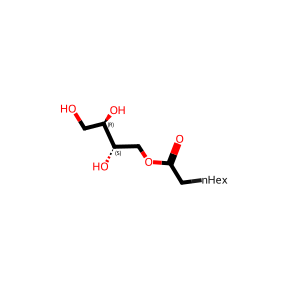 CCCCCCCC(=O)OC[C@H](O)[C@H](O)CO